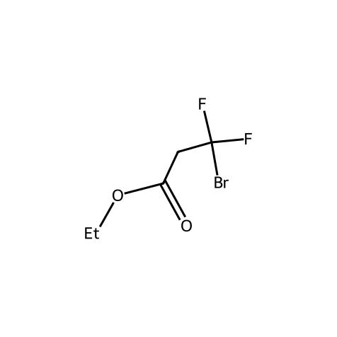 CCOC(=O)CC(F)(F)Br